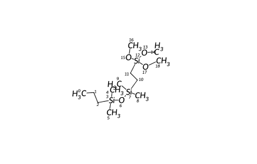 CCC[Si](C)(C)O[Si](C)(C)CC[Si](OC)(OC)OC